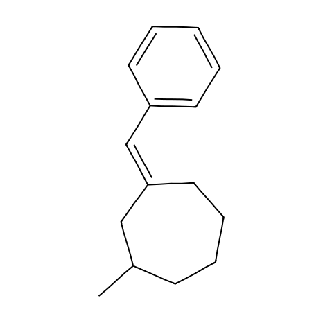 CC1CCCCC(=Cc2ccccc2)C1